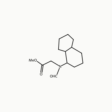 COC(=O)CN(C=O)C1CCCC2CCCCC21